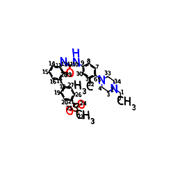 CCN1CCN(c2ccc(Nc3nc4cccc(-c5ccc(S(C)(=O)=O)cc5)c4o3)cc2C)CC1